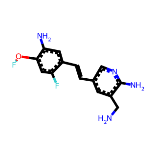 NCc1cc(C=Cc2cc(N)c(OF)cc2F)cnc1N